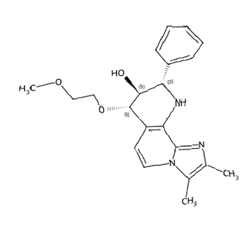 COCCO[C@H]1c2ccn3c(C)c(C)nc3c2N[C@@H](c2ccccc2)[C@@H]1O